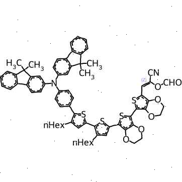 CCCCCCc1cc(-c2sc(-c3sc(-c4sc(/C=C(/C#N)OC=O)c5c4OCCO5)c4c3OCCO4)cc2CCCCCC)sc1-c1ccc(N(c2ccc3c(c2)C(C)(C)c2ccccc2-3)c2ccc3c(c2)C(C)(C)c2ccccc2-3)cc1